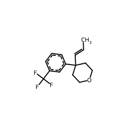 C/C=C/C1(c2cccc(C(F)(F)F)c2)CCOCC1